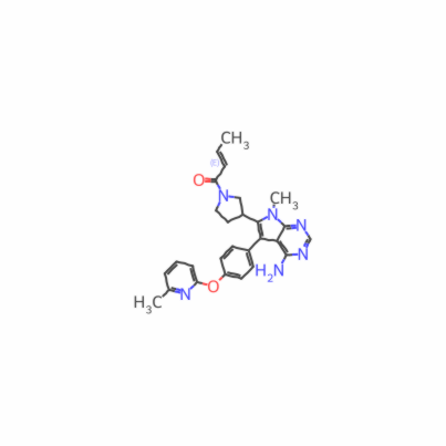 C/C=C/C(=O)N1CCC(c2c(-c3ccc(Oc4cccc(C)n4)cc3)c3c(N)ncnc3n2C)C1